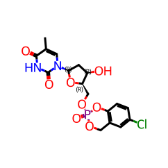 Cc1cn([C@H]2C[C@@H](O)[C@@H](COP3(=O)OCc4cc(Cl)ccc4O3)O2)c(=O)[nH]c1=O